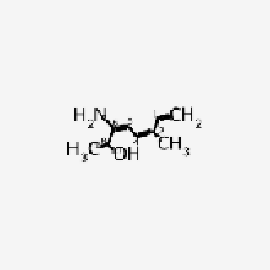 C=C/C(C)=C\C=C(\N)C(C)O